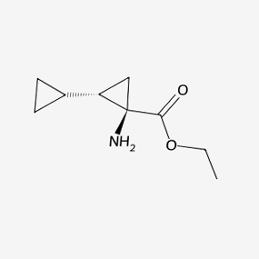 CCOC(=O)[C@@]1(N)C[C@H]1C1CC1